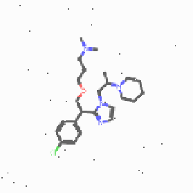 CC(Cn1ccnc1C(COCCCN(C)C)c1ccc(Cl)cc1)N1CCCCC1